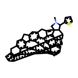 CN1CC23C=C4Cc5cc6c7c8c(cc9c%10c8c8c%11c7c5c5c4c2c2c4c(cc7cc(c%12c7c4c(c2c5%11)c8c%12%10)C9)C3C1c1cccs1)C6